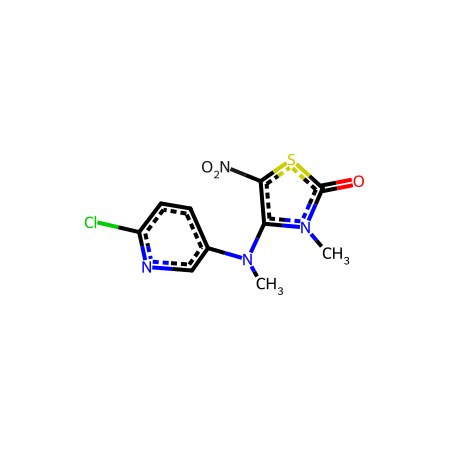 CN(c1ccc(Cl)nc1)c1c([N+](=O)[O-])sc(=O)n1C